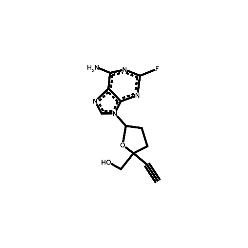 C#CC1(CO)CCC(n2cnc3c(N)nc(F)nc32)O1